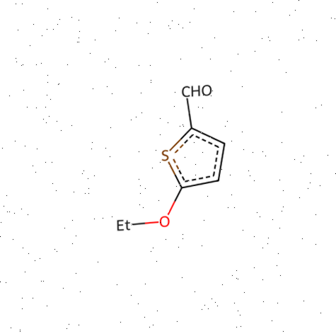 CCOc1ccc(C=O)s1